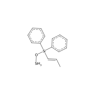 CC=C[Si](O[SiH3])(c1ccccc1)c1ccccc1